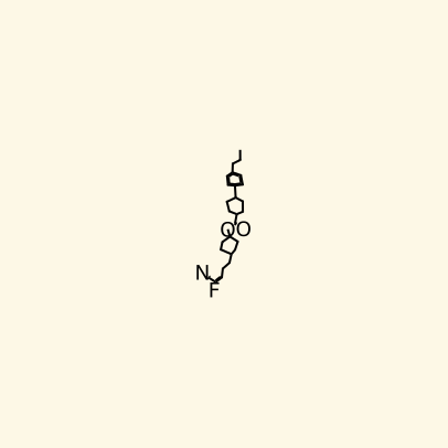 CCCc1ccc(C2CCC(C(=O)OC3CCC(CC/C=C(/F)C#N)CC3)CC2)cc1